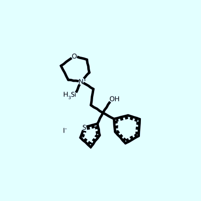 OC(CC[N+]1([SiH3])CCOCC1)(c1ccccc1)c1cccs1.[I-]